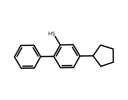 Sc1cc(C2CCCC2)ccc1-c1ccccc1